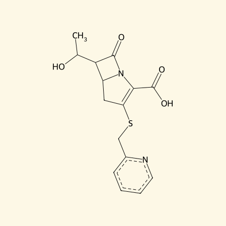 CC(O)C1C(=O)N2C(C(=O)O)=C(SCc3ccccn3)CC12